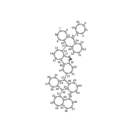 c1ccc(-c2c3ccccc3c(-c3cccc4c3sc3ccc(-c5c6ccccc6c(-c6cccc7ccccc67)c6ccccc56)cc34)c3ccccc23)cc1